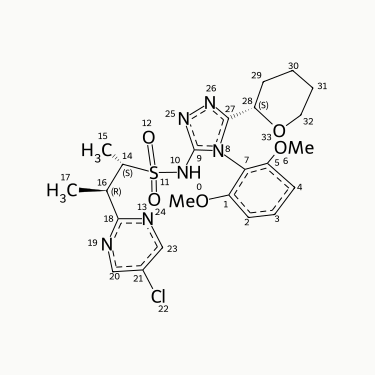 COc1cccc(OC)c1-n1c(NS(=O)(=O)[C@@H](C)[C@H](C)c2ncc(Cl)cn2)nnc1[C@@H]1CCCCO1